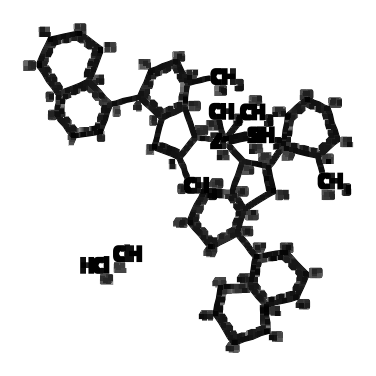 CC1=Cc2c(-c3cccc4ccccc34)ccc(C)c2[CH]1[Zr]([CH3])([CH3])(=[SiH2])[CH]1C(c2ccccc2C)=Cc2c(-c3cccc4ccccc34)cccc21.Cl.Cl